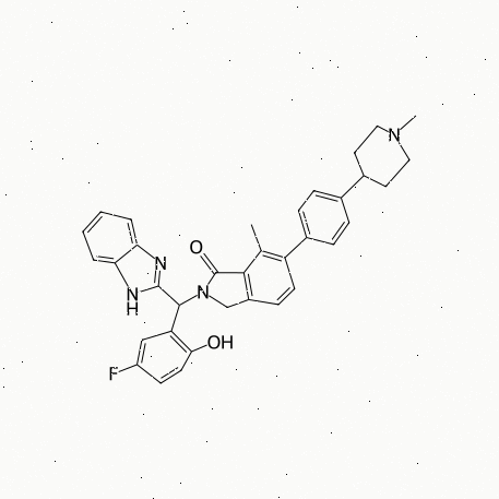 Cc1c(-c2ccc(C3CCN(C)CC3)cc2)ccc2c1C(=O)N(C(c1nc3ccccc3[nH]1)c1cc(F)ccc1O)C2